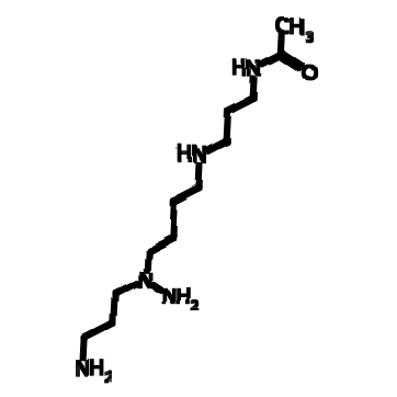 CC(=O)NCCCNCCCCN(N)CCCN